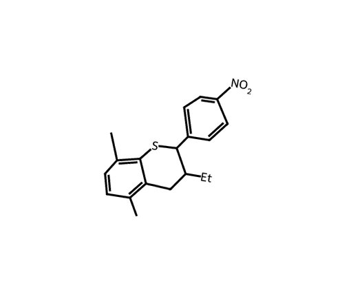 CCC1Cc2c(C)ccc(C)c2SC1c1ccc([N+](=O)[O-])cc1